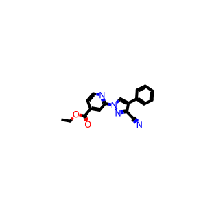 CCOC(=O)c1ccnc(-n2cc(-c3ccccc3)c(C#N)n2)c1